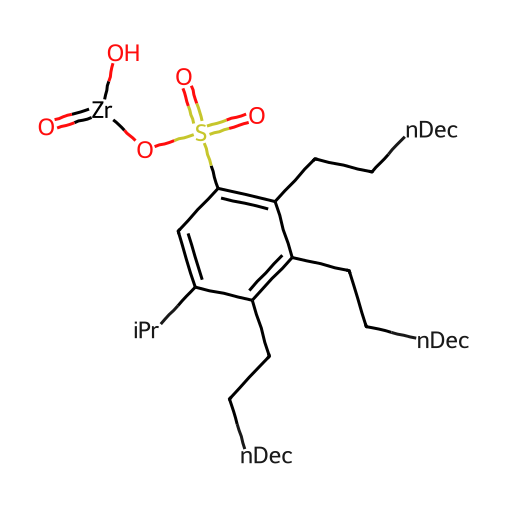 CCCCCCCCCCCCc1c(C(C)C)cc(S(=O)(=O)[O][Zr](=[O])[OH])c(CCCCCCCCCCCC)c1CCCCCCCCCCCC